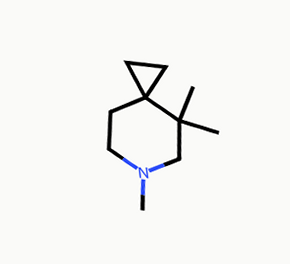 CN1CCC2(CC2)C(C)(C)C1